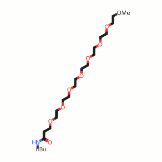 CCCCNC(=O)CCOCCOCCOCCOCCOCCOCCOCCOC